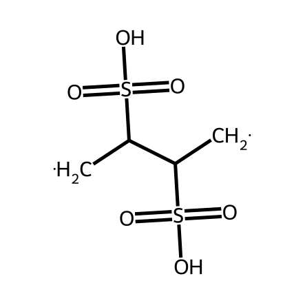 [CH2]C(C([CH2])S(=O)(=O)O)S(=O)(=O)O